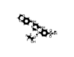 CNS(=O)(=O)c1ccc(SC)c(Nc2cc(Nc3ccc4c(c3)OCCO4)ncn2)c1.O=C(O)C(F)(F)F